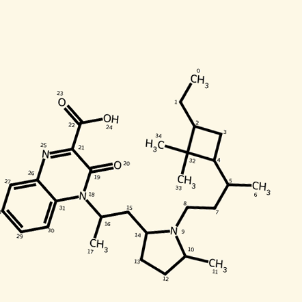 CCC1CC(C(C)CCN2C(C)CCC2CC(C)n2c(=O)c(C(=O)O)nc3ccccc32)C1(C)C